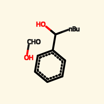 CCCCC(O)c1ccccc1.O=CO